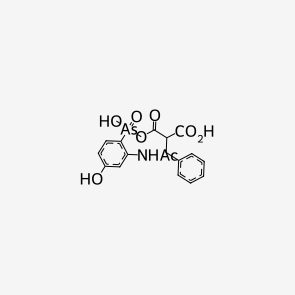 CC(=O)Nc1cc(O)ccc1[As](=O)(O)OC(=O)C(Cc1ccccc1)C(=O)O